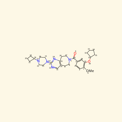 COc1ccc(C(=O)N2CCc3cnc(N4CCN(C5CCC5)CC4)nc3CC2)cc1OC1CCCC1